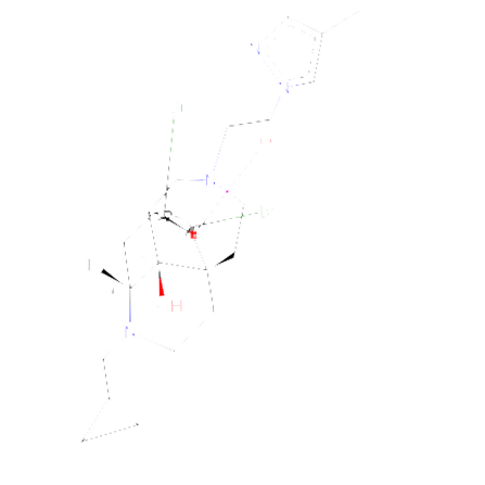 Cc1cnn(CCN2CC[C@]34CCN(CC5CC5)[C@H](Cc5cc(Br)c(O)c(Br)c53)[C@]4(O)CC2)c1